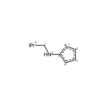 CC(C)CNc1cccs1